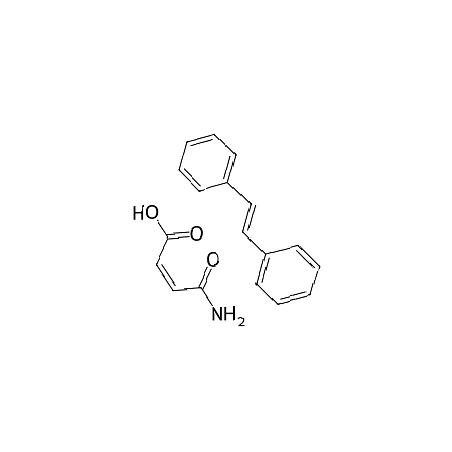 C(=C\c1ccccc1)/c1ccccc1.NC(=O)/C=C\C(=O)O